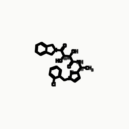 C[C@H](NC(=O)[C@H](O)[C@@H](O)C(=O)N1Cc2ccccc2C1)c1ccn(Cc2ccccc2Cl)n1